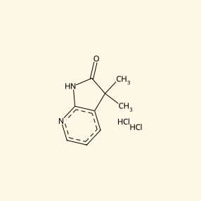 CC1(C)C(=O)Nc2ncccc21.Cl.Cl